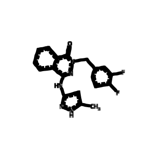 Cc1cc(Nc2nn(Cc3ccc(F)c(F)c3)c(=O)c3ccccc23)n[nH]1